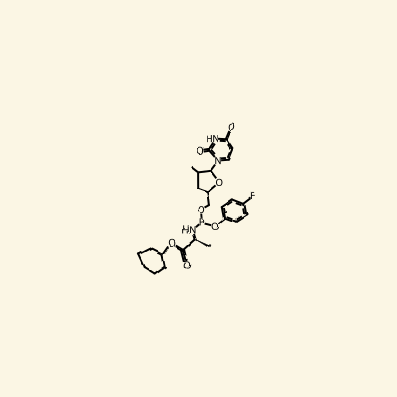 CC1CC(COP(N[C@@H](C)C(=O)OC2CCCCC2)Oc2ccc(F)cc2)OC1n1ccc(=O)[nH]c1=O